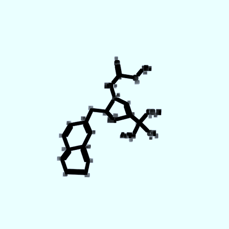 CC(=O)NC(C)(C(=O)O)C1=CN(NC(=O)OC(C)(C)C)C(Cc2ccc3ccccc3c2)N1